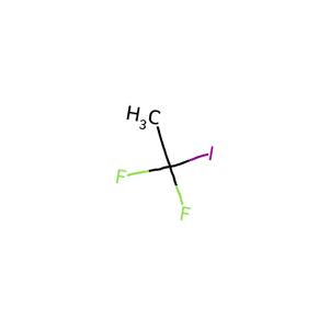 CC(F)(F)I